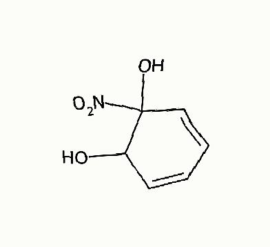 O=[N+]([O-])C1(O)C=CC=CC1O